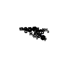 C=C(S/C=C(\C)c1ccc(F)cc1)N(C)c1c(CCC(N)=O)nc2ccc(C3CCN(C(=O)OC(C)(C)C)CC3)cn12